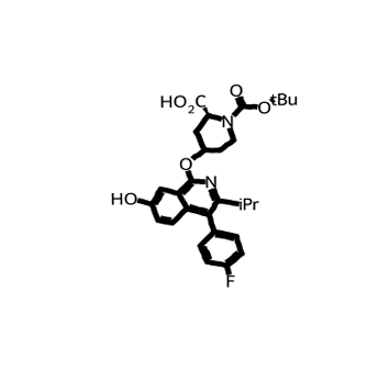 CC(C)c1nc(OC2CCN(C(=O)OC(C)(C)C)[C@H](C(=O)O)C2)c2cc(O)ccc2c1-c1ccc(F)cc1